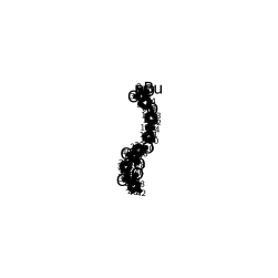 CCCCN1C(=O)c2ccc(Oc3ccc(C(C)(C)c4ccc(Oc5ccc6c(c5)C(=O)N(c5cccc(N7C(=O)c8ccc(C)cc8C7=O)c5)C6=O)cc4)cc3)cc2C1=O